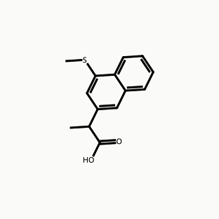 CSc1cc(C(C)C(=O)O)cc2ccccc12